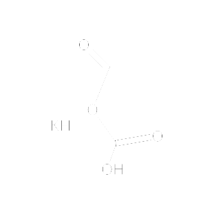 O=COC(=O)O.[KH]